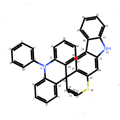 c1ccc(N2c3ccccc3C3(c4ccccc4Sc4cc5[nH]c6ccccc6c5cc43)c3ccccc32)cc1